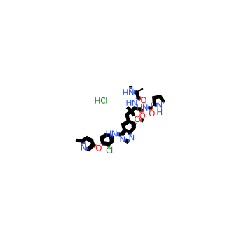 CN[C@@H](C)C(=O)N[C@H](C(=O)NC(=O)[C@@H]1CCCN1)C(C)(C)Cc1cc2c(Nc3ccc(Oc4ccc(C)nc4)c(Cl)c3)ncnc2cc1OC.Cl